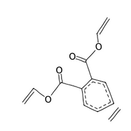 C=C.C=COC(=O)c1ccccc1C(=O)OC=C